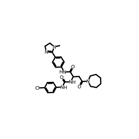 CN1CCN=C1c1ccc(NC(=O)C(CC(=O)N2CCCCCC2)NC(=O)Nc2ccc(Cl)cc2)cc1